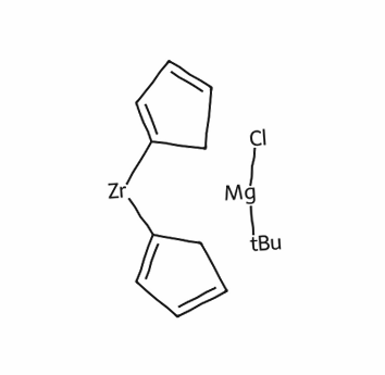 C1=CC[C]([Zr][C]2=CC=CC2)=C1.C[C](C)(C)[Mg][Cl]